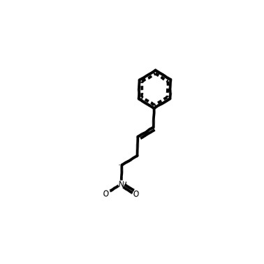 O=[N+]([O-])[CH]CC=Cc1ccccc1